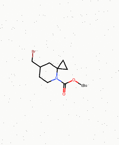 CC(C)(C)OC(=O)N1CCC(CBr)CC12CC2